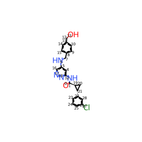 O=C(Nc1cc(NCc2ccc(CO)cc2)cnn1)[C@H]1C[C@@H]1c1cccc(Cl)c1